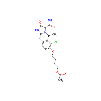 CC(=O)OCCCCOc1ccc2c(c1Cl)C(C)N1C(=N2)NC(=O)C1C(N)=O